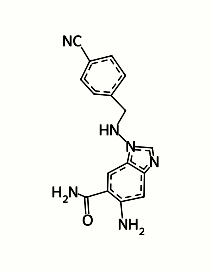 N#Cc1ccc(CNn2cnc3cc(N)c(C(N)=O)cc32)cc1